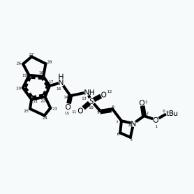 CC(C)(C)OC(=O)N1CCC1/C=C/S(=O)(=O)NC(=O)Nc1c2c(cc3c1CCC3)CCC2